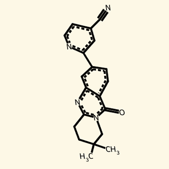 CC1(C)CCc2nc3cc(-c4cc(C#N)ccn4)ccc3c(=O)n2C1